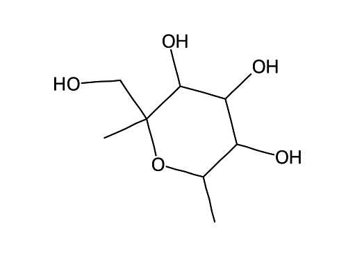 CC1OC(C)(CO)C(O)C(O)C1O